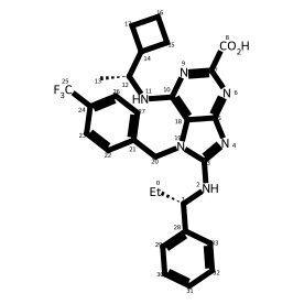 CC[C@H](Nc1nc2nc(C(=O)O)nc(N[C@H](C)C3CCC3)c2n1Cc1ccc(C(F)(F)F)cc1)c1ccccc1